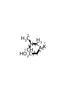 CC(=O)CC(=O)O.CN(C)C.[K]